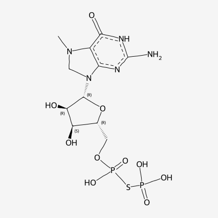 CN1CN([C@@H]2O[C@H](COP(=O)(O)SP(=O)(O)O)[C@@H](O)[C@H]2O)c2nc(N)[nH]c(=O)c21